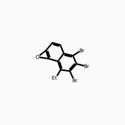 CCc1c(Br)c(Br)c(Br)c2ccc3c(c12)O3